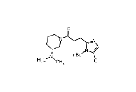 CCCCn1c(Cl)cnc1CCC(=O)N1CCC[C@@H](N(C)C)C1